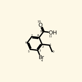 CCc1c(Br)cccc1C(=O)O